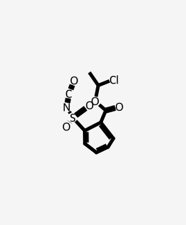 CC(Cl)OC(=O)c1ccccc1S(=O)(=O)N=C=O